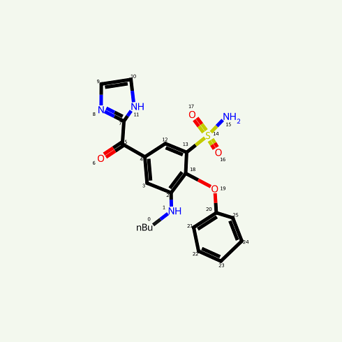 CCCCNc1cc(C(=O)c2ncc[nH]2)cc(S(N)(=O)=O)c1Oc1ccccc1